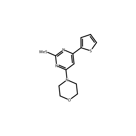 CSc1nc(-c2cccs2)cc(N2CCOCC2)n1